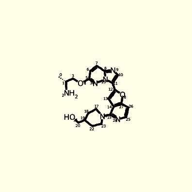 C[C@@H](N)COc1ccc2ncc(-c3cc4c(N5CCC(CO)CC5)nccc4o3)n2n1